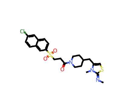 C/N=c1\scc(CC2CCN(C(=O)CCS(=O)(=O)c3ccc4cc(Cl)ccc4c3)CC2)n1C